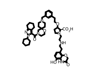 O=C1COc2c(CCNCCN3CCC(OCCc4cccc(CN5CCC6(CC5)CN(C(=O)c5c7c(nn5C5CCCCC5)CCCC7)CCO6)c4)[C@H]3C(=O)O)ccc(O)c2N1